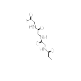 CCC(=O)NCC(=O)NCC(=O)NCC(=O)I